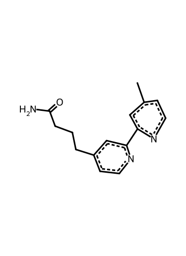 Cc1ccnc(-c2cc(CCCC(N)=O)ccn2)c1